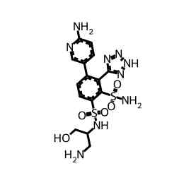 NCC(CO)NS(=O)(=O)c1ccc(-c2ccc(N)nc2)c(-c2nn[nH]n2)c1S(N)(=O)=O